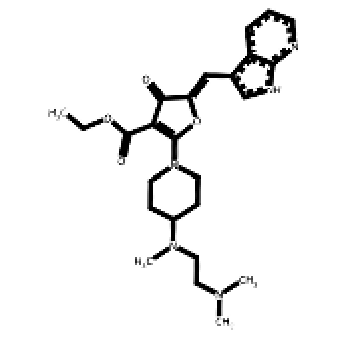 CCOC(=O)C1=C(N2CCC(N(C)CCN(C)C)CC2)OC(=Cc2c[nH]c3ncccc23)C1=O